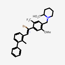 COc1cc(/C(Br)=C/c2cccc(-c3ccccc3)c2C)c(C(F)(F)F)cc1CN1CCCCC1C(=O)O